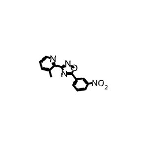 Cc1cccnc1-c1noc(-c2cccc([N+](=O)[O-])c2)n1